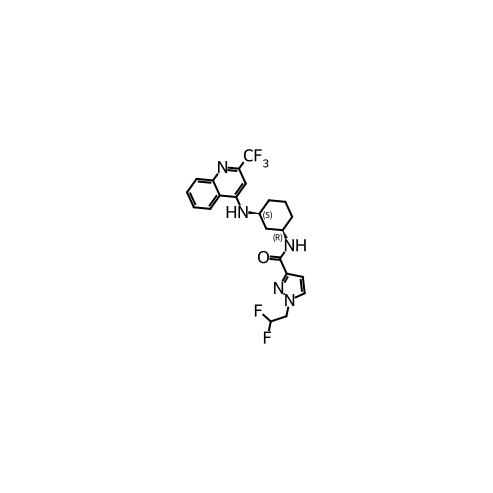 O=C(N[C@@H]1CCC[C@H](Nc2cc(C(F)(F)F)nc3ccccc23)C1)c1ccn(CC(F)F)n1